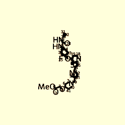 COC(=O)COC1CCN(Cc2ccc(-c3cc4nccc(Oc5ccc(NC(=O)NC6CC6)cc5F)c4s3)nc2)CC1